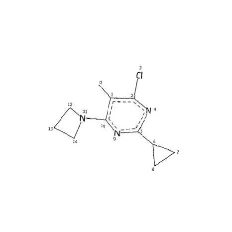 Cc1c(Cl)nc(C2CC2)nc1N1CCC1